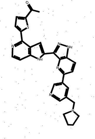 CC(=O)c1ccc(-c2nccc3[nH]c(-c4n[nH]c5ccc(-c6cncc(CN7CCCC7)c6)nc45)cc23)s1